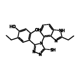 CCc1nc2c(-n3c(S)nnc3-c3cc(CC)c(O)cc3O)cccc2[nH]1